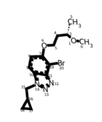 CO[C@@H](C)CCOc1ccc2c(nnn2CC2CC2)c1Br